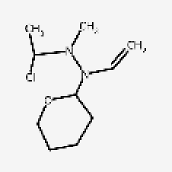 C=CN(C1CCCCO1)N(C)C(C)Cl